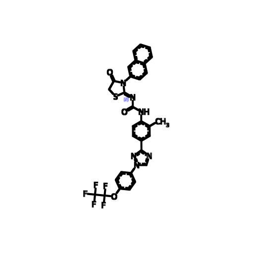 Cc1cc(-c2ncn(-c3ccc(OC(F)(F)C(F)(F)F)cc3)n2)ccc1NC(=O)/N=C1\SCC(=O)N1c1ccc2ccccc2c1